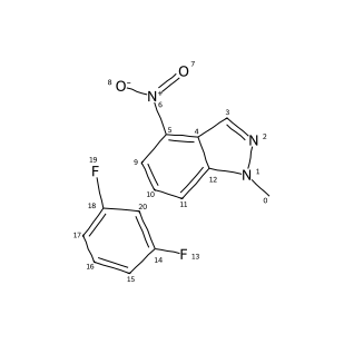 Cn1ncc2c([N+](=O)[O-])cccc21.Fc1cccc(F)c1